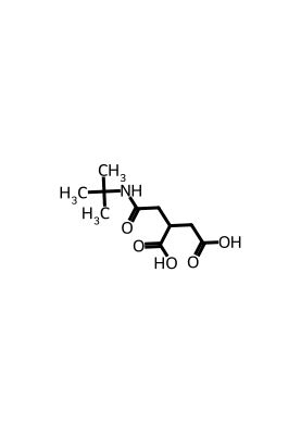 CC(C)(C)NC(=O)CC(CC(=O)O)C(=O)O